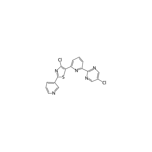 Clc1cnc(-c2cccc(-c3sc(-c4cccnc4)nc3Cl)n2)nc1